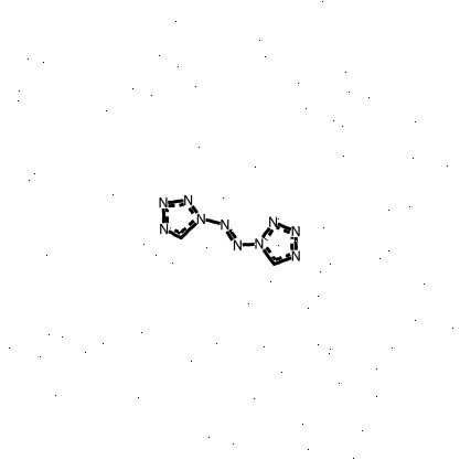 c1nnnn1N=Nn1cnnn1